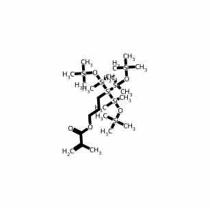 C=C(C)C(=O)OCCC[Si]([Si](C)(C)O[Si](C)(C)C)([Si](C)(C)O[Si](C)(C)C)[Si](C)(C)O[Si](C)(C)C